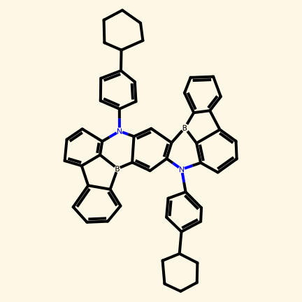 c1ccc2c(c1)B1c3cc4c(cc3N(c3ccc(C5CCCCC5)cc3)c3cccc-2c31)B1c2ccccc2-c2cccc(c21)N4c1ccc(C2CCCCC2)cc1